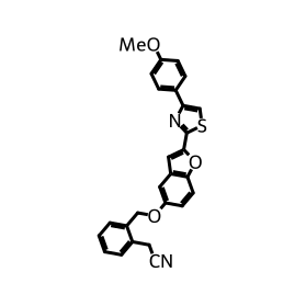 COc1ccc(-c2csc(-c3cc4cc(OCc5ccccc5CC#N)ccc4o3)n2)cc1